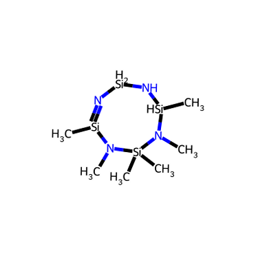 CN1[Si](C)=N[SiH2]N[SiH](C)N(C)[Si]1(C)C